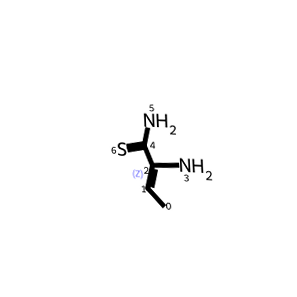 C/C=C(\N)C(N)=S